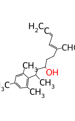 C=C=CC=C(C=O)CCC(O)CC(C)c1c(C)cc(C)cc1C